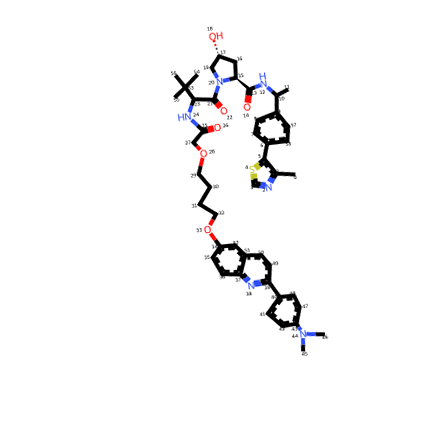 Cc1ncsc1-c1ccc(C(C)NC(=O)[C@@H]2C[C@@H](O)CN2C(=O)C(NC(=O)COCCCCOc2ccc3nc(-c4ccc(N(C)C)cc4)ccc3c2)C(C)(C)C)cc1